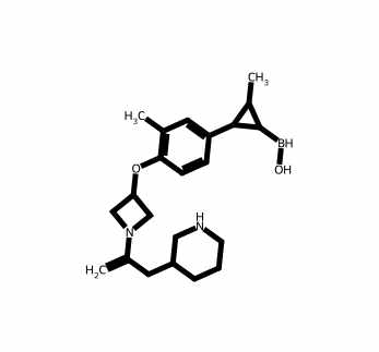 C=C(CC1CCCNC1)N1CC(Oc2ccc(C3C(C)C3BO)cc2C)C1